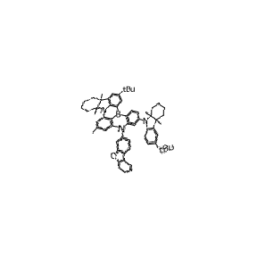 Cc1cc2c3c(c1)N1c4c(cc(C(C)(C)C)cc4C4(C)CCCCC14C)B3c1ccc(N3c4ccc(C(C)(C)C)cc4C4(C)CCCCC34C)cc1N2c1ccc2c(c1)oc1ccccc12